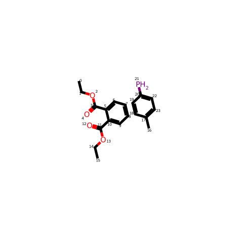 CCOC(=O)c1ccccc1C(=O)OCC.Cc1ccc(P)cc1